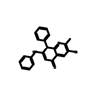 CCc1cc2c(=O)cc(Nc3ccccc3)n(-c3ccccc3)c2nc1C